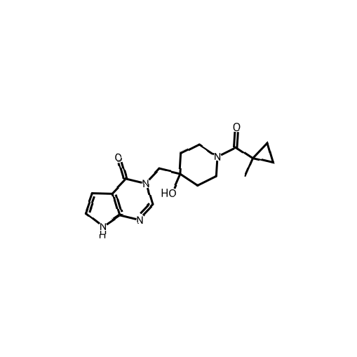 CC1(C(=O)N2CCC(O)(Cn3cnc4[nH]ccc4c3=O)CC2)CC1